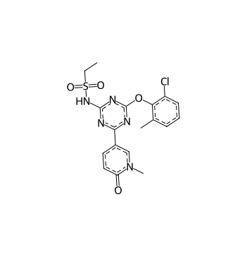 CCS(=O)(=O)Nc1nc(Oc2c(C)cccc2Cl)nc(-c2ccc(=O)n(C)c2)n1